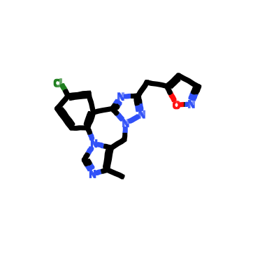 Cc1ncn2c1Cn1nc(Cc3ccno3)nc1-c1cc(Cl)ccc1-2